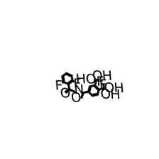 O=C(C1=NC(c2ccc(C(O)(O)F)c(C(O)(O)F)c2)CO1)c1c(F)cccc1F